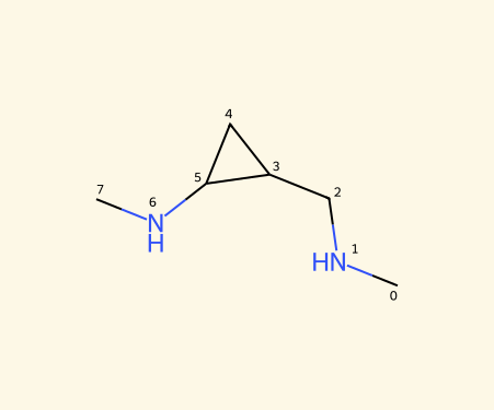 CNCC1CC1NC